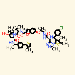 Cc1ccsc1-c1ccc([C@H](C)NC(=O)[C@@H]2C[C@@H](O)CN2C(=O)[C@@H](NC(=O)c2cc3ccc(O[C@@H](C)CNC(=O)C[C@@H]4N=C(c5ccc(Cl)cc5)c5c(sc(C)c5C)-n5c(C)nnc54)cc3o2)C(C)(C)C)cc1